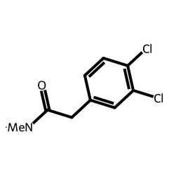 C[N]C(=O)Cc1ccc(Cl)c(Cl)c1